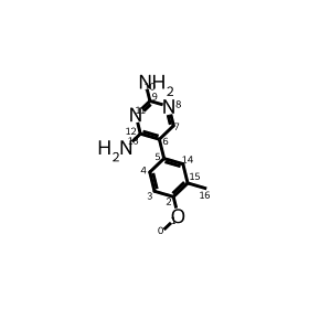 COc1ccc(-c2cnc(N)nc2N)cc1C